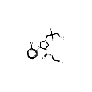 CCOC(=O)[C@H]1CN(CC(F)(F)CC)C[C@H]1c1ccccc1Cl